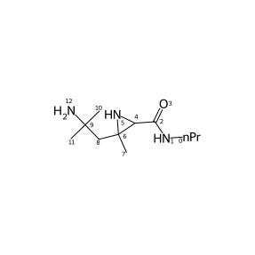 CCCNC(=O)C1NC1(C)CC(C)(C)N